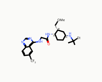 CCC(C)(C)N[C@@H]1CC[C@H](NC(=O)CNc2ncnc3ccc(C(F)(F)F)cc23)[C@H](COC)C1